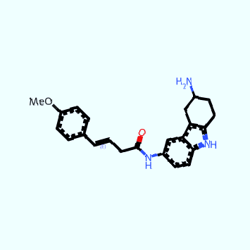 COc1ccc(/C=C/CC(=O)Nc2ccc3[nH]c4c(c3c2)CC(N)CC4)cc1